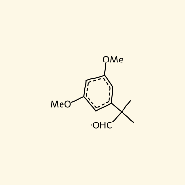 COc1cc(OC)cc(C(C)(C)[C]=O)c1